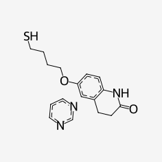 O=C1CCc2cc(OCCCCS)ccc2N1.c1cncnc1